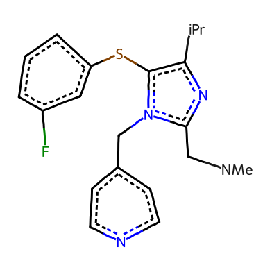 CNCc1nc(C(C)C)c(Sc2cccc(F)c2)n1Cc1ccncc1